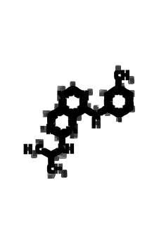 Cc1cccc(Nc2ncnc3cnc(NC(C)C)nc23)c1